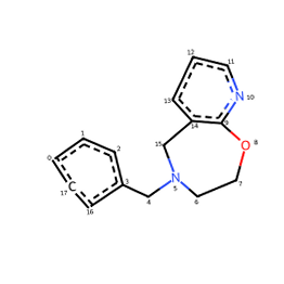 c1ccc(CN2CCOc3ncccc3C2)cc1